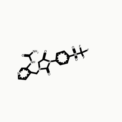 NC(=O)Nc1cnccc1CN1CC(=O)N(c2ccc(S(=O)(=O)C(F)(F)F)cc2)C1=O